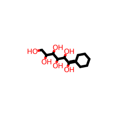 OCC(O)C(O)C(O)C(O)C(O)=C1CCCCC1